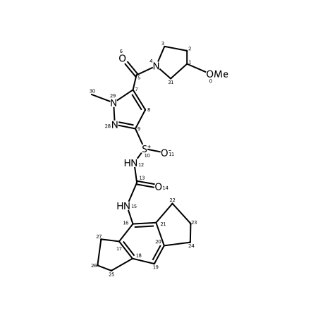 COC1CCN(C(=O)c2cc([S+]([O-])NC(=O)Nc3c4c(cc5c3CCC5)CCC4)nn2C)C1